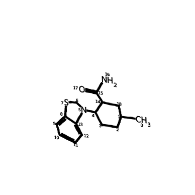 CC1CCC(N2CSc3ccccc32)C(C(N)=O)C1